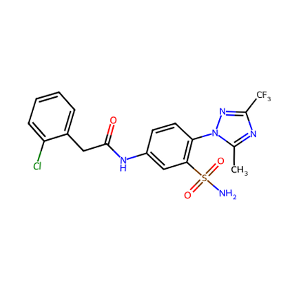 Cc1nc(C(F)(F)F)nn1-c1ccc(NC(=O)Cc2ccccc2Cl)cc1S(N)(=O)=O